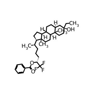 CC[C@]1(O)CC[C@@]2(C)[C@@H](CC[C@@H]3[C@@H]2CC[C@]2(C)[C@@H]([C@H](C)CCC[C@@H](OC(=O)c4ccccc4)C(F)(F)F)CC[C@@H]32)C1